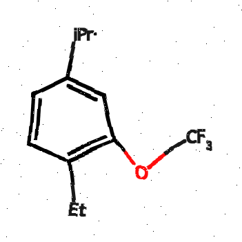 CCc1ccc([C](C)C)cc1OC(F)(F)F